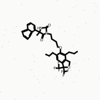 CCCc1cc2c(c(CCC)c1OCCCCN1C(=O)NC(C)(c3cccc4ccccc34)C1=O)COC2(C(F)(F)F)C(F)(F)F